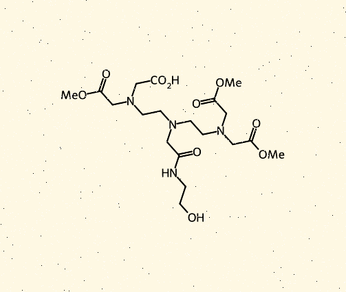 COC(=O)CN(CCN(CCN(CC(=O)OC)CC(=O)OC)CC(=O)NCCO)CC(=O)O